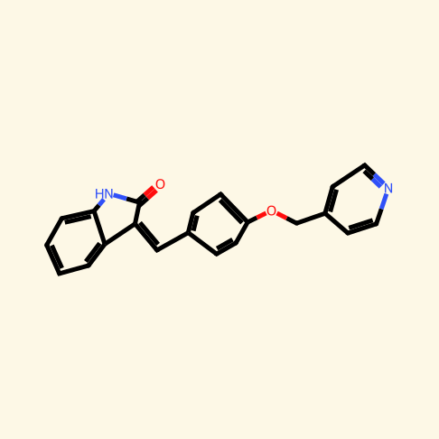 O=C1Nc2ccccc2/C1=C/c1ccc(OCc2ccncc2)cc1